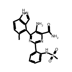 Cc1ccc2[nH]ncc2c1-c1nc(-c2ccccc2NS(C)(=O)=O)nc(C(N)=O)c1N